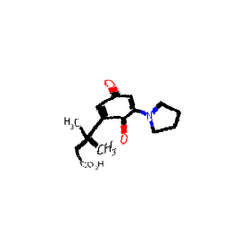 CC(C)(CC(=O)O)C1=CC(=O)C=C(N2CCCC2)C1=O